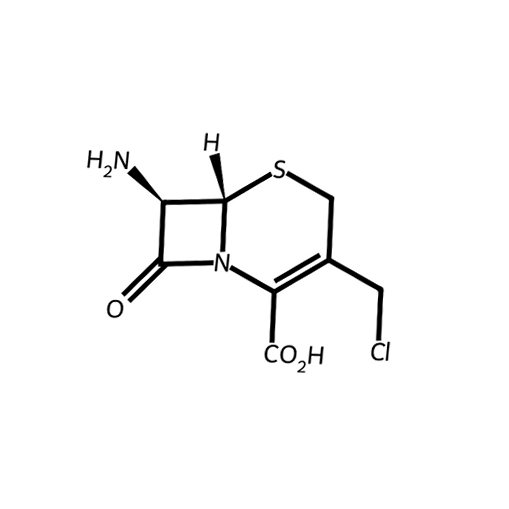 N[C@@H]1C(=O)N2C(C(=O)O)=C(CCl)CS[C@@H]12